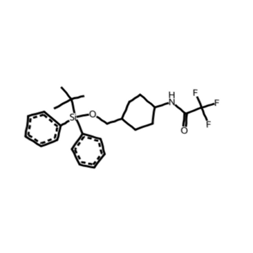 CC(C)(C)[Si](OCC1CCC(NC(=O)C(F)(F)F)CC1)(c1ccccc1)c1ccccc1